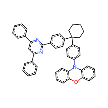 c1ccc(-c2cc(-c3ccccc3)nc(-c3ccc(C4(c5ccc(N6c7ccccc7Oc7ccccc76)cc5)CCCCC4)cc3)n2)cc1